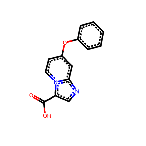 O=C(O)c1cnc2cc(Oc3ccccc3)ccn12